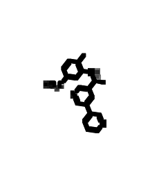 Cc1ccc(C(=O)O)cc1N[C@@H](C)c1cncc(-c2cccnc2)c1